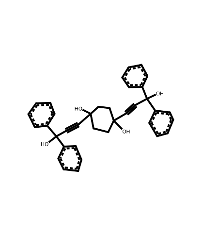 OC1(C#CC(O)(c2ccccc2)c2ccccc2)CCC(O)(C#CC(O)(c2ccccc2)c2ccccc2)CC1